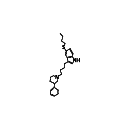 CCCCSc1ccc2[nH]cc(CCCCN3CCCC(c4ccccc4)C3)c2c1